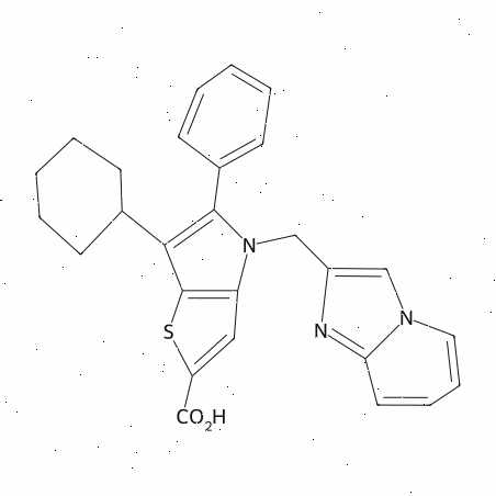 O=C(O)c1cc2c(s1)c(C1CCCCC1)c(-c1ccccc1)n2Cc1cn2ccccc2n1